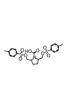 Cc1ccc(S(=O)(=O)OCC2CCC(COS(=O)(=O)c3ccc(C)cc3)N2C(=O)O)cc1